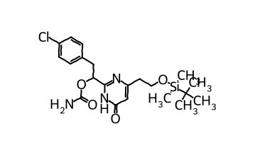 CC(C)(C)[Si](C)(C)OCCc1cc(=O)[nH]c(C(Cc2ccc(Cl)cc2)OC(N)=O)n1